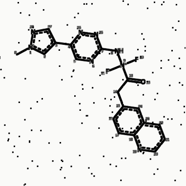 Cn1cc(-c2cnc(N[N+](F)(F)C(=O)Cc3ccc4ncccc4c3)nn2)cn1